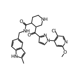 COc1cc(-n2ccc(C(=O)C3CNCCC3C(=O)NCc3ccc4[nH]c(C)cc4c3)n2)c(Cl)cn1